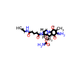 C#CCNC(=O)CCCC(=O)N1[C@H]2[C@@H]1CN1C3=C(C(=O)C(N)=C(C)C3=O)[C@H](COC(N)=O)[C@@]21OC